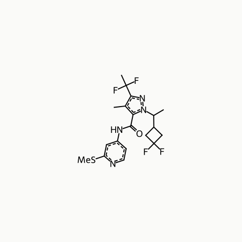 CSc1cc(NC(=O)c2c(C)c(C(C)(F)F)nn2C(C)C2CC(F)(F)C2)ccn1